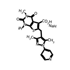 Cc1nn(-c2ccncc2)c(C)c1Cc1sc2c(c1C(=O)O)c(=O)n(C)c(=O)n2C(C)C.[NaH]